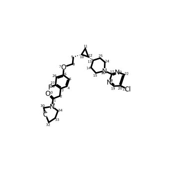 O=C(Cc1ccc(OCC[C@@H]2C[C@@H]2C2CCN(c3ncc(Cl)cn3)CC2)cc1F)N1CCCCC1